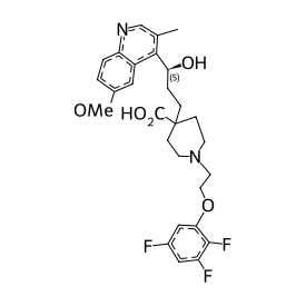 COc1ccc2ncc(C)c([C@@H](O)CCC3(C(=O)O)CCN(CCOc4cc(F)cc(F)c4F)CC3)c2c1